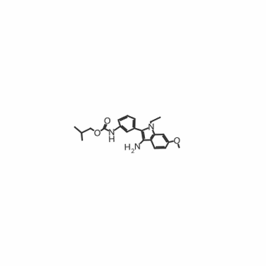 CCn1c(-c2cccc(NC(=O)OCC(C)C)c2)c(N)c2ccc(OC)cc21